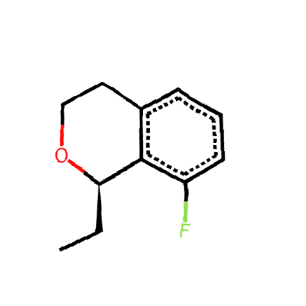 CC[C@H]1OCCc2cccc(F)c21